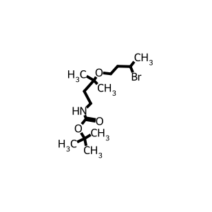 CC(Br)CCOC(C)(C)CCNC(=O)OC(C)(C)C